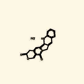 Cl.O=C1Cc2cc3n(c(=O)c2=CO1)CC1=Cc2ccccc2NC=31